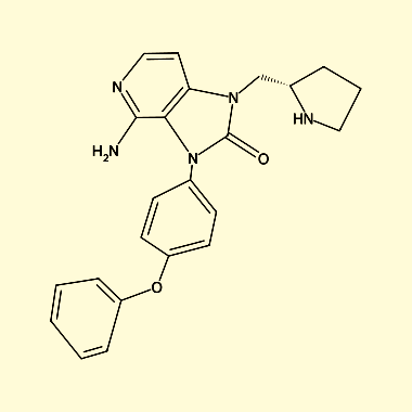 Nc1nccc2c1n(-c1ccc(Oc3ccccc3)cc1)c(=O)n2C[C@@H]1CCCN1